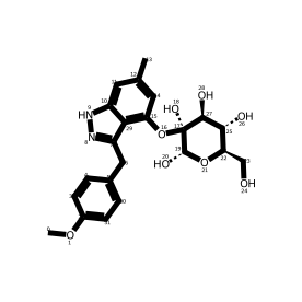 COc1ccc(Cc2n[nH]c3cc(C)cc(O[C@]4(O)[C@@H](O)O[C@H](CO)[C@@H](O)[C@@H]4O)c23)cc1